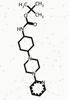 CC(C)(C)OC(=O)NC1CCC(N2CCN(c3ccccn3)CC2)CC1